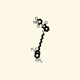 CC1CC2CC(C1)CC(C)(CCCCCCCCCSc1cccc3c1CN(C1CCC(=O)NC1=O)C3=O)C2